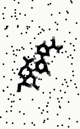 C=CC(=O)N1CCN(C(C)=O)[C@H](c2cc(Cl)nc(-c3cc(C(=O)NC)ncn3)c2)[C@H]1COC